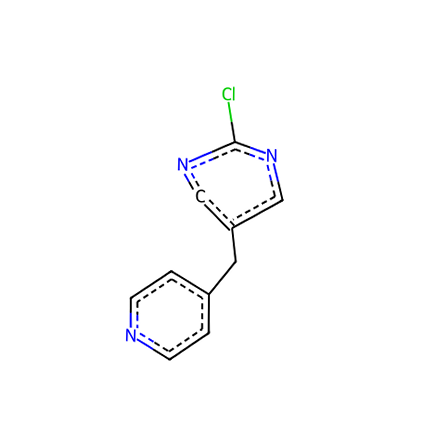 Clc1ncc(Cc2ccncc2)cn1